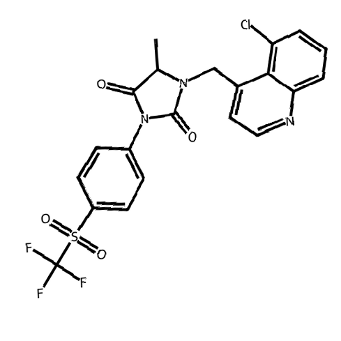 CC1C(=O)N(c2ccc(S(=O)(=O)C(F)(F)F)cc2)C(=O)N1Cc1ccnc2cccc(Cl)c12